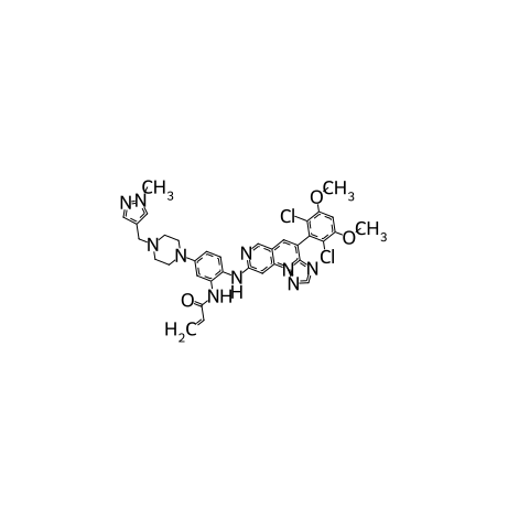 C=CC(=O)Nc1cc(N2CCN(Cc3cnn(C)c3)CC2)ccc1Nc1cc2c(cn1)cc(-c1c(Cl)c(OC)cc(OC)c1Cl)c1ncnn12